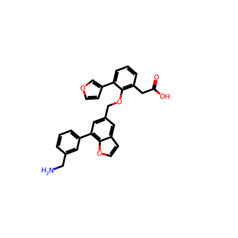 NCc1cccc(-c2cc(COc3c(CC(=O)O)cccc3-c3ccoc3)cc3ccoc23)c1